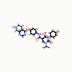 CC(C)n1cc(C(=O)Nc2ccc(Oc3ncnc4c3CCNC4)cc2)c(=O)n(-c2ccc(F)cc2)c1=O